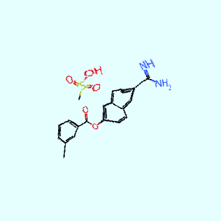 CS(=O)(=O)O.Cc1cccc(C(=O)Oc2ccc3cc(C(=N)N)ccc3c2)c1